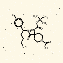 CC(C)(C)OC(=O)NC1(C(=O)NC(CCCO)c2ccc(Cl)cc2)CCN(C(=O)O)CC1